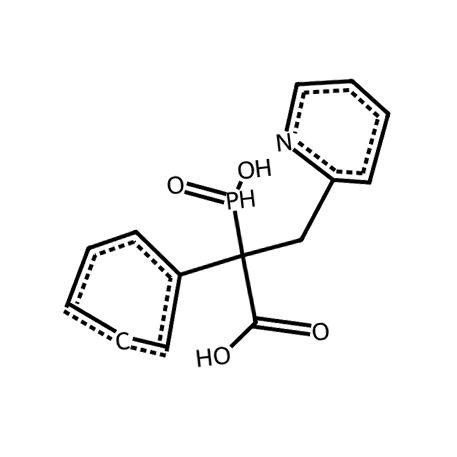 O=C(O)C(Cc1ccccn1)(c1ccccc1)[PH](=O)O